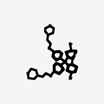 Brc1ccc2c(c1)C(c1ccc(OCCN3CCOCC3)cc1)(c1ccc(OCCN3CCOCC3)cc1)c1cc(Br)ccc1-2